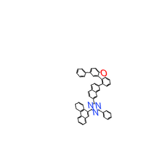 C1=Cc2c(-c3nc(-c4ccccc4)nc(-c4ccc5ccc(-c6cccc7oc8ccc(-c9ccccc9)cc8c67)cc5c4)n3)cc3ccccc3c2CC1